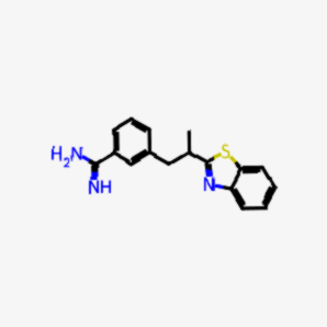 CC(Cc1cccc(C(=N)N)c1)c1nc2ccccc2s1